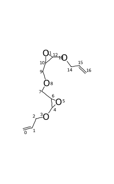 C=CCOC1OC1COCC1OC1OCC=C